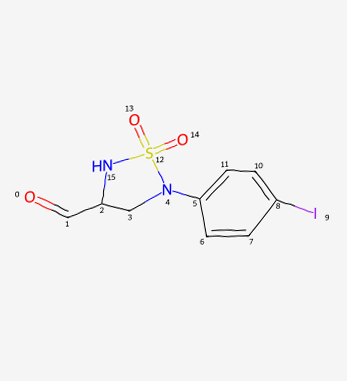 O=CC1CN(c2ccc(I)cc2)S(=O)(=O)N1